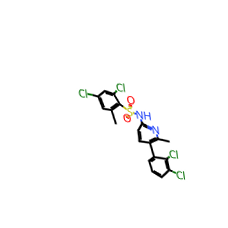 Cc1cc(Cl)cc(Cl)c1S(=O)(=O)Nc1ccc(-c2cccc(Cl)c2Cl)c(C)n1